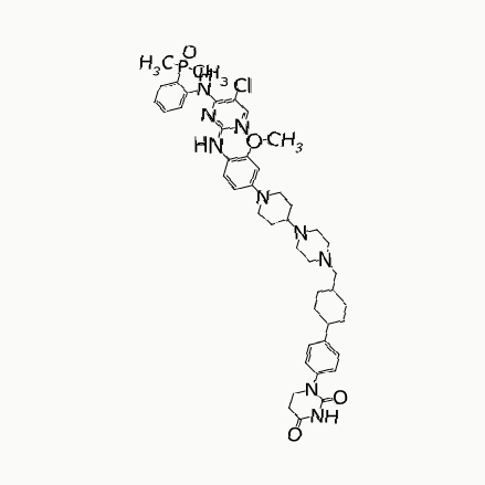 COc1cc(N2CCC(N3CCN(CC4CCC(c5ccc(N6CCC(=O)NC6=O)cc5)CC4)CC3)CC2)ccc1Nc1ncc(Cl)c(Nc2ccccc2P(C)(C)=O)n1